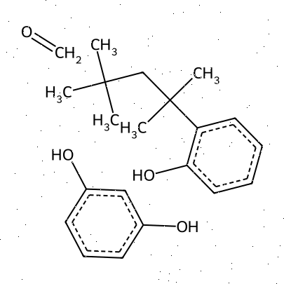 C=O.CC(C)(C)CC(C)(C)c1ccccc1O.Oc1cccc(O)c1